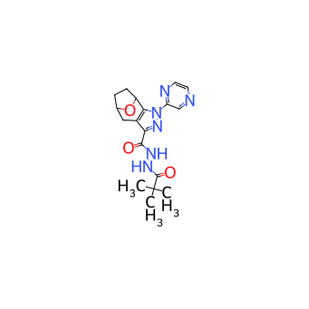 CC(C)(C)C(=O)NNC(=O)c1nn(-c2cnccn2)c2c1CC1CCC2O1